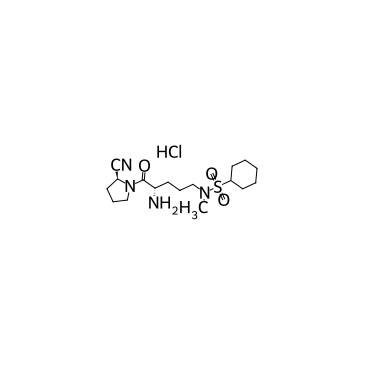 CN(CCC[C@H](N)C(=O)N1CCC[C@H]1C#N)S(=O)(=O)C1CCCCC1.Cl